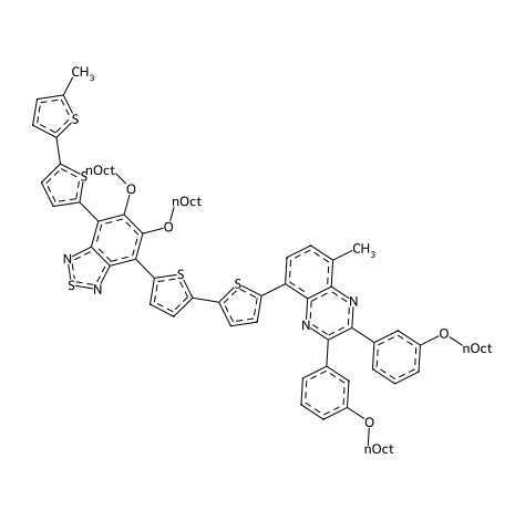 CCCCCCCCOc1cccc(-c2nc3c(C)ccc(-c4ccc(-c5ccc(-c6c(OCCCCCCCC)c(OCCCCCCCC)c(-c7ccc(-c8ccc(C)s8)s7)c7nsnc67)s5)s4)c3nc2-c2cccc(OCCCCCCCC)c2)c1